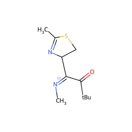 C/N=C(\C(=O)C(C)(C)C)C1CSC(C)=N1